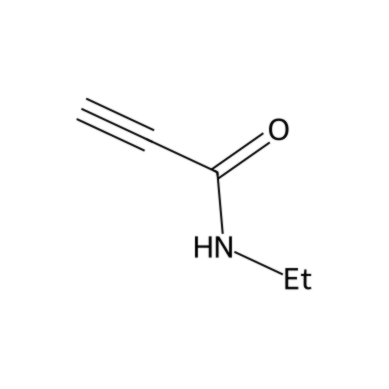 C#CC(=O)NC[CH2]